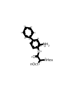 CCCCCCCCC(CCCCCC)C(=O)Oc1ccc(-c2ccccc2)cc1N